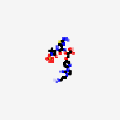 CC1(C)[C@H](NC(=O)/C(=N\O[C@@H](COc2ccc(-n3ccn(CCCN)c3=N)nc2)C(=O)O)c2csc(N)n2)C(=O)N1OS(=O)(=O)O